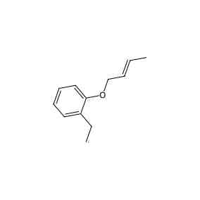 [CH2]Cc1ccccc1OCC=CC